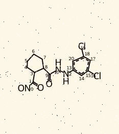 O=NC(=O)C1CCCCC1C(=O)NNc1cc(Cl)cc(Cl)c1